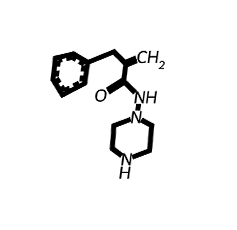 C=C(Cc1ccccc1)C(=O)NN1CCNCC1